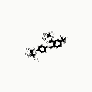 CC(C)(C)OC(=O)c1cc(C(F)(F)F)ccc1COc1ccc(B2OC(C)(C)C(C)(C)O2)cc1